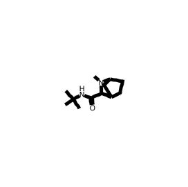 CN1C2CCC(C2)C1C(=O)NC(C)(C)C